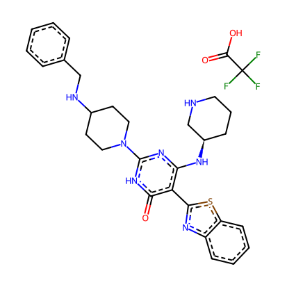 O=C(O)C(F)(F)F.O=c1[nH]c(N2CCC(NCc3ccccc3)CC2)nc(N[C@@H]2CCCNC2)c1-c1nc2ccccc2s1